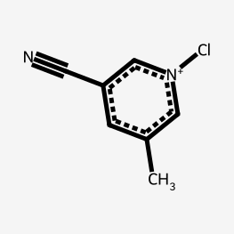 Cc1cc(C#N)c[n+](Cl)c1